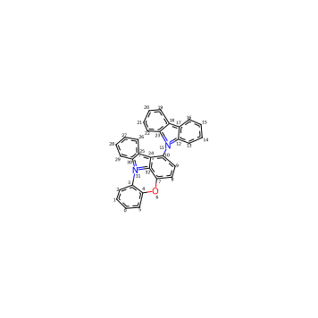 c1ccc2c(c1)Oc1ccc(-n3c4ccccc4c4ccccc43)c3c4ccccc4n-2c13